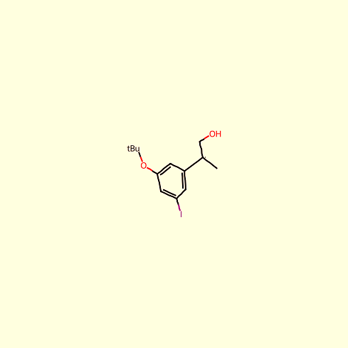 C[C](CO)c1cc(I)cc(OC(C)(C)C)c1